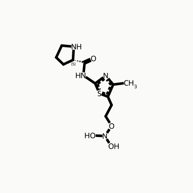 Cc1nc(NC(=O)[C@@H]2CCCN2)sc1CCON(O)O